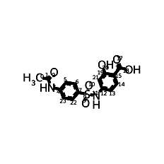 CC(=O)Nc1ccc(S(=O)(=O)Nc2ccc(C(=O)O)c(O)c2)cc1